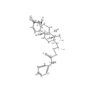 C[C@H](CCC(=O)Nc1ccncc1)[C@H]1CC[C@H]2[C@@H]3CC[C@H]4NC(=O)C=C[C@]4(C)[C@H]3CC[C@]12C